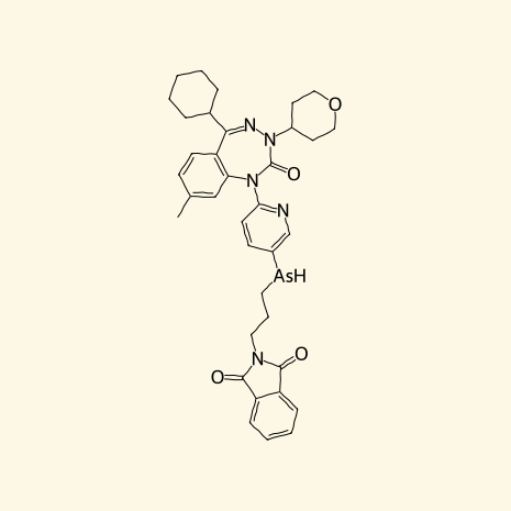 Cc1ccc2c(c1)N(c1ccc([AsH]CCCN3C(=O)c4ccccc4C3=O)cn1)C(=O)N(C1CCOCC1)N=C2C1CCCCC1